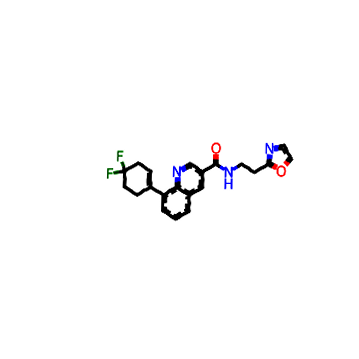 O=C(NCCc1ncco1)c1cnc2c(C3=CCC(F)(F)CC3)cccc2c1